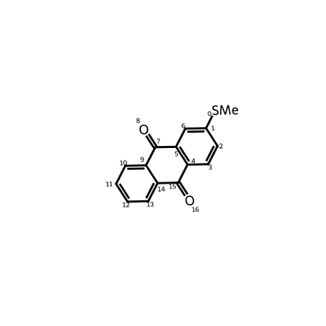 CSc1ccc2c(c1)C(=O)c1ccccc1C2=O